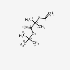 C=CCC(C)(C)C(=O)OC(C)(C)C